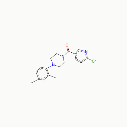 Cc1ccc(N2CCN(C(=O)c3ccc(Br)nc3)CC2)c(C)c1